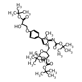 Cn1c(-c2ccc(OC[C@@H](O)C(=O)OC(C)(C)C)cc2)cn(C[C@@H](CNC(=O)OC(C)(C)C)O[Si](C)(C)C(C)(C)C)c1=NC(=O)OC(C)(C)C